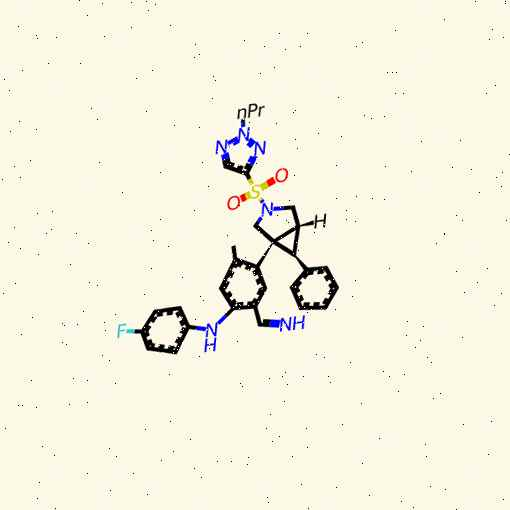 CCCn1ncc(S(=O)(=O)N2C[C@@H]3[C@@H](c4ccccc4)[C@]3(c3cc(C=N)c(Nc4ccc(F)cc4)cc3C)C2)n1